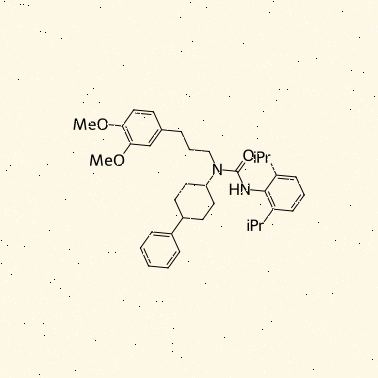 COc1ccc(CCCN(C(=O)Nc2c(C(C)C)cccc2C(C)C)C2CCC(c3ccccc3)CC2)cc1OC